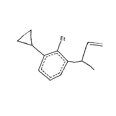 C=C[C](C)c1cccc(C2CC2)c1CC